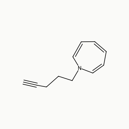 C#CCCCN1C=CC=CC=C1